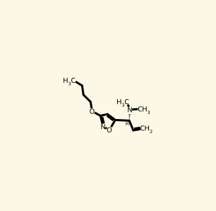 C=C[C@H](c1cc(OCCCC)no1)N(C)C